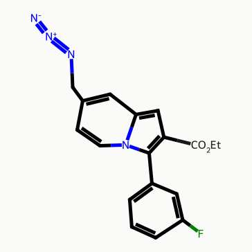 CCOC(=O)c1cc2cc(CN=[N+]=[N-])ccn2c1-c1cccc(F)c1